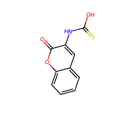 O=c1oc2ccccc2cc1NC(O)=S